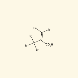 O=C(O)C(=C(Br)Br)C(Br)(Br)Br